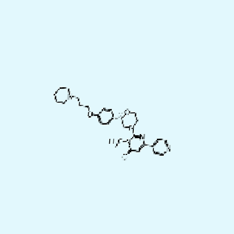 Cn1c(N2CCO[C@@H](c3ccc(OCCCN4CCCCC4)cc3)C2)nc(-c2ccncc2)cc1=O